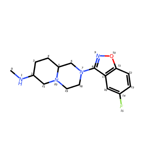 CNC1CCC2CN(c3noc4ccc(F)cc34)CCN2C1